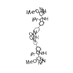 COc1cc(-c2[nH]c3ccc(C4CCN(C(=O)BC(=O)N5CCC(c6ccc7[nH]c(-c8cc(OC)c9ncnn9c8)c(C(C)C)c7c6)CC5)CC4)cc3c2C(C)C)cn2ncnc12